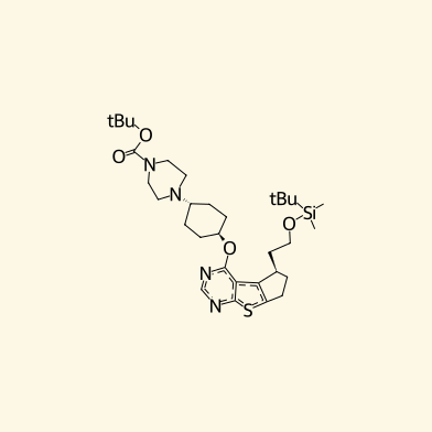 CC(C)(C)OC(=O)N1CCN([C@H]2CC[C@H](Oc3ncnc4sc5c(c34)[C@@H](CCO[Si](C)(C)C(C)(C)C)CC5)CC2)CC1